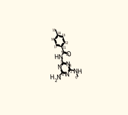 CNc1nc(N)nc(NC(=O)c2ccc(C)cc2)n1